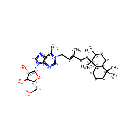 C/C(=C\C[n+]1cnc2c(ncn2[C@@H]2O[C@H](CO)C(O)[C@@H]2O)c1N)CC[C@@]1(C)[C@@H]2CCCC(C)(C)C2CC[C@@H]1C